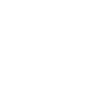 Cc1ccc(SN=Cc2c(O)ccc3ccccc23)cc1